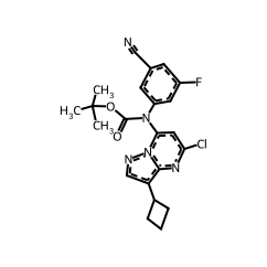 CC(C)(C)OC(=O)N(c1cc(F)cc(C#N)c1)c1cc(Cl)nc2c(C3CCC3)cnn12